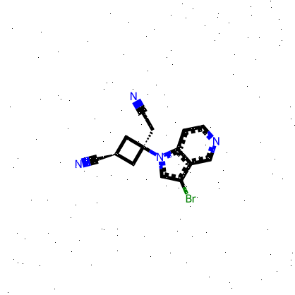 N#CC[C@]1(n2cc(Br)c3cnccc32)C[C@@H](C#N)C1